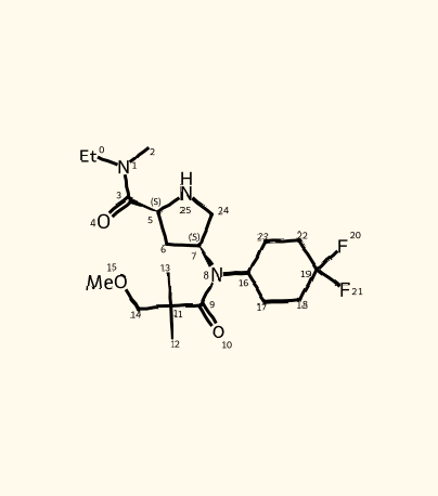 CCN(C)C(=O)[C@@H]1C[C@H](N(C(=O)C(C)(C)COC)C2CCC(F)(F)CC2)CN1